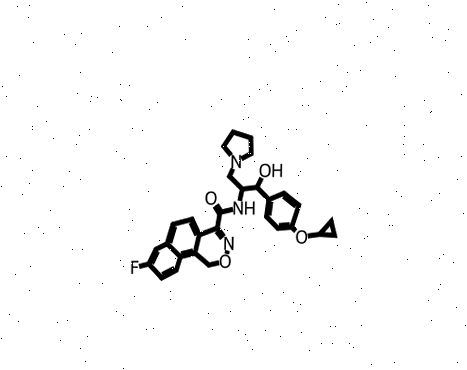 O=C(NC(CN1CCCC1)C(O)c1ccc(OC2CC2)cc1)C1=NOCc2c1ccc1cc(F)ccc21